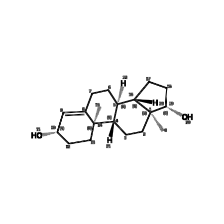 C[C@]12CC[C@H]3[C@@H](CCC4=C[C@@H](O)CC[C@@]43C)[C@@H]1CC[C@@H]2O